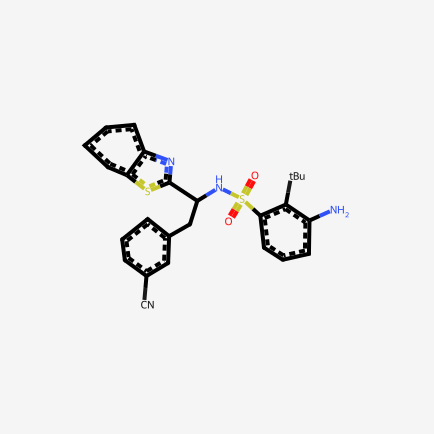 CC(C)(C)c1c(N)cccc1S(=O)(=O)NC(Cc1cccc(C#N)c1)c1nc2ccccc2s1